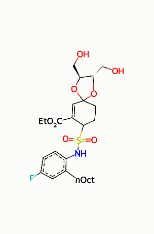 CCCCCCCCc1cc(F)ccc1NS(=O)(=O)C1CCC2(C=C1C(=O)OCC)O[C@@H](CO)[C@H](CO)O2